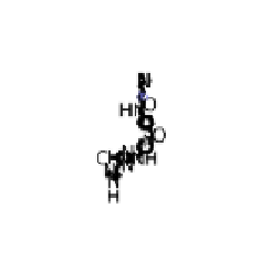 CN(C)C/C=C/C(=O)Nc1ccc(C(=O)N2CCC(Nc3ncc(Cl)c(-c4c[nH]cn4)n3)CC2)cc1